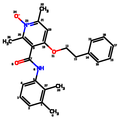 Cc1cccc(NC(=O)c2c(OCCc3ccccc3)cc(C)[n+]([O-])c2C)c1C